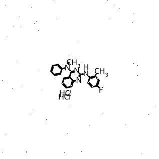 Cc1cc(F)ccc1Nc1nc(N(C)c2ccccc2)c2ccccc2n1.Cl.Cl